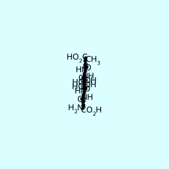 CC(CSCC(=O)NCCNC(=O)[C@@H](O)[C@H](O)[C@H](O)[C@@H](O)C(=O)NCCNC(=O)CSCC(N)C(=O)O)C(=O)O